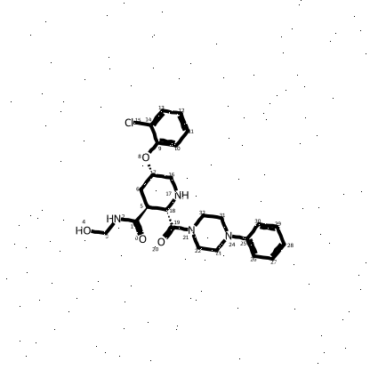 O=C(NCO)[C@H]1C[C@H](Oc2ccccc2Cl)CN[C@@H]1C(=O)N1CCN(c2ccccc2)CC1